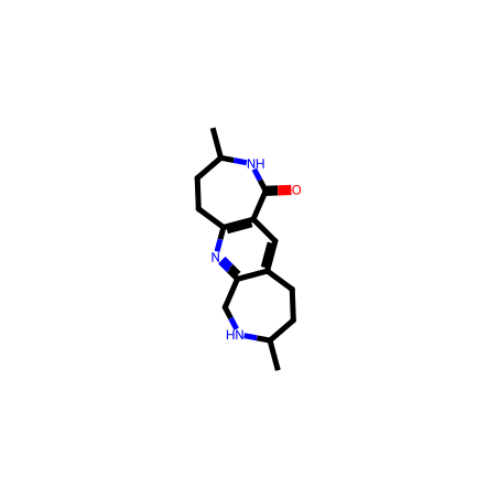 CC1CCc2cc3c(nc2CN1)CCC(C)NC3=O